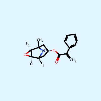 C=C(C(=O)O[C@@H]1C[C@@H]2[C@H]3O[C@H]3[C@](C)(C1)N2C)c1ccccc1